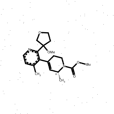 COC1(c2nccc(C)c2C2=C[C@@H](C)N(C(=O)OC(C)(C)C)CC2)CCOC1